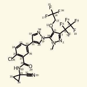 Cn1nc(C(F)(F)C(F)(F)F)c(OCC(F)(F)F)c1-n1cc(-c2ccc(Cl)c(C(=O)NC3(C#N)CC3)c2)cn1